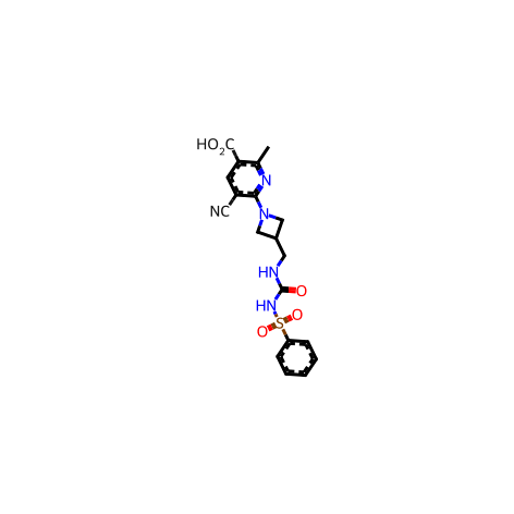 Cc1nc(N2CC(CNC(=O)NS(=O)(=O)c3ccccc3)C2)c(C#N)cc1C(=O)O